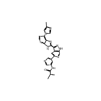 Cc1cn(-c2ccnc3[nH]c(-c4n[nH]c5cnc(-c6cncc(NC(=O)C(C)C)c6)cc45)nc23)cn1